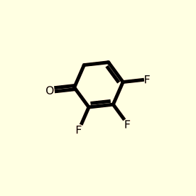 O=C1CC=C(F)C(F)=C1F